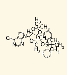 CC1(C)O[C@H]2[C@H](n3ccc4c(Cl)ncnc43)O[C@](C)(CO[Si](c3ccccc3)(c3ccccc3)C(C)(C)C)[C@@]2(C)O1